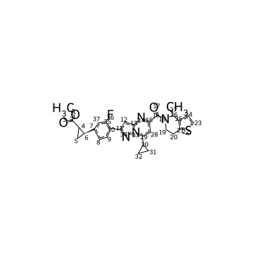 COC(=O)C1C[C@@H]1c1ccc(-c2cc3nc(C(=O)N4CCc5sccc5C4C)cc(C4CC4)n3n2)c(F)c1